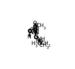 CN1C(=O)Cn2c1nc1nc(N3CCC[C@@H](NC(=O)OC(C)(C)C)C3)n(Cc3ccccc3C#N)c1c2=O